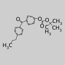 CCCc1ccc(C(=O)c2ccc(OC(=O)OC(C)(C)C)cc2)cc1